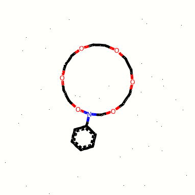 c1ccc(N2COCCOCCOCCOCCOCCO2)cc1